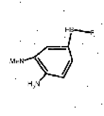 CNc1cc(BF)ccc1N